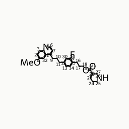 COc1ccc2nccc(CCCc3ccc(CCCOC(=O)[C@@H]4CCCNC4)c(F)c3)c2c1